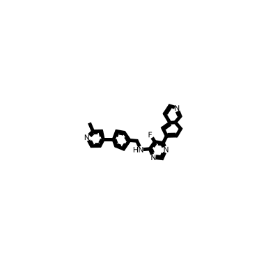 Cc1cc(-c2ccc(CNc3ncnc(C4=CCC5C=NC=CC5=C4)c3F)cc2)ccn1